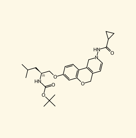 CC(C)C[C@@H](COc1ccc2c(c1)OCC1=C2CN(NC(=O)C2CC2)C=C1)NC(=O)OC(C)(C)C